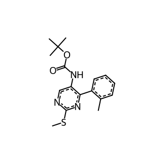 CSc1ncc(NC(=O)OC(C)(C)C)c(-c2ccccc2C)n1